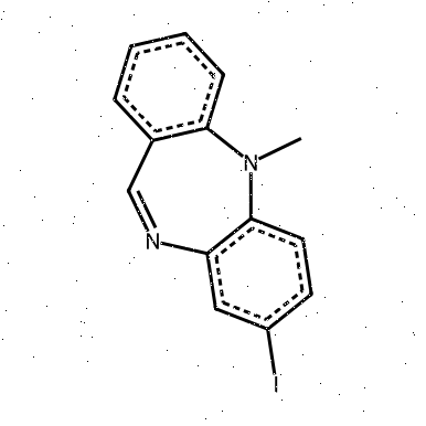 CN1c2ccccc2C=Nc2cc(I)ccc21